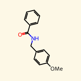 COc1ccc(CNC(=O)c2ccccc2)cc1